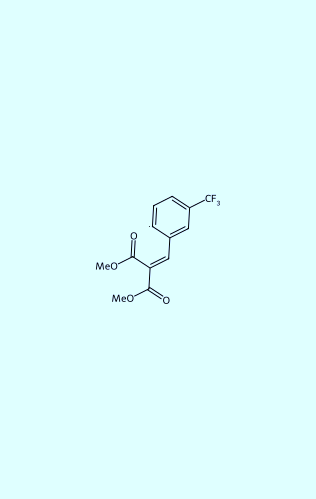 COC(=O)C(=Cc1[c]ccc(C(F)(F)F)c1)C(=O)OC